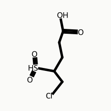 O=C(O)CCC(CCl)[SH](=O)=O